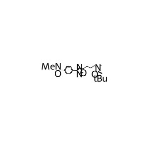 C=C(OC(C)(C)C)N(C)CCCc1nc(-c2ccc(C(=O)NC)cc2)no1